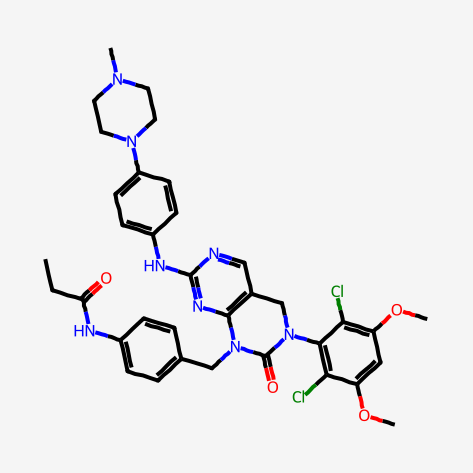 CCC(=O)Nc1ccc(CN2C(=O)N(c3c(Cl)c(OC)cc(OC)c3Cl)Cc3cnc(Nc4ccc(N5CCN(C)CC5)cc4)nc32)cc1